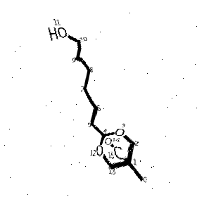 CC12COC(CCCCCCO)(OC1)OC2